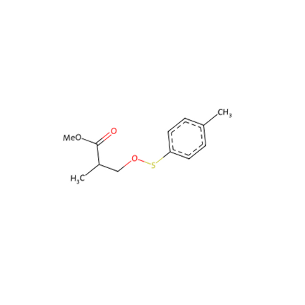 COC(=O)C(C)COSc1ccc(C)cc1